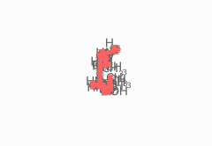 CC[C@H](NC)C(=O)N[C@@H]1C(=O)N2C(CC[C@@H]1CO)CC[C@H]2C(=O)N[C@H](C(=O)NCCCCCCCC(=O)NC[C@H]1CC[C@H]2CC[C@@H](C(=O)NCc3ccccc3)N2C(=O)[C@H]1NC(=O)[C@H](CC)NC)c1ccccc1